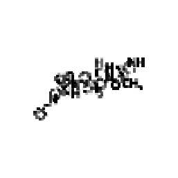 Cc1c(NC(=O)c2nc3c(n2C)CCNC3)cccc1-c1cccc(NC(=O)c2nc3c(n2C)CCN(CCC24CCC(CC2)C4)C3)c1C